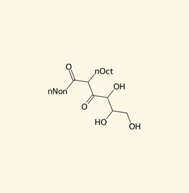 CCCCCCCCCC(=O)C(CCCCCCCC)C(=O)C(O)C(O)CO